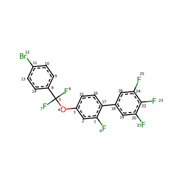 Fc1cc(OC(F)(F)c2ccc(Br)cc2)ccc1-c1cc(F)c(F)c(F)c1